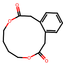 O=C1Cc2ccccc2CC(=O)OCCCCO1